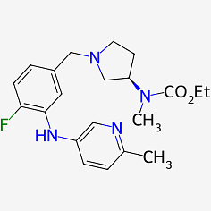 CCOC(=O)N(C)[C@@H]1CCN(Cc2ccc(F)c(Nc3ccc(C)nc3)c2)C1